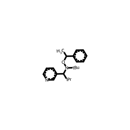 CC(ON(C(c1cccnc1)C(C)C)C(C)(C)C)c1ccccc1